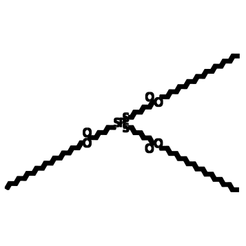 CCCCCCCCCCCCCCCCCCOC(=O)CCCCCSP(SCCCCCC(=O)OCCCCCCCCCCCCCCCCCC)SCCCCCC(=O)OCCCCCCCCCCCCCCCCCC